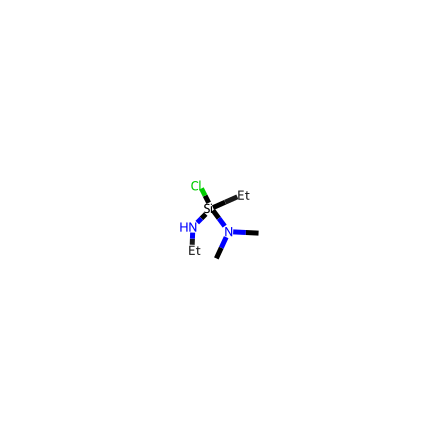 CCN[Si](Cl)(CC)N(C)C